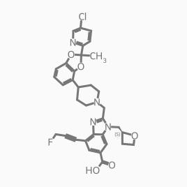 CC1(c2ccc(Cl)cn2)Oc2cccc(C3CCN(Cc4nc5c(C#CCF)cc(C(=O)O)cc5n4C[C@@H]4CCO4)CC3)c2O1